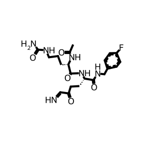 CC(=O)N[C@@H](CCCNC(N)=O)C(=O)N[C@@H](CCC(=O)C=N)C(=O)NCc1ccc(F)cc1